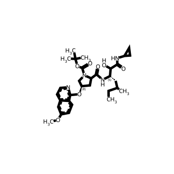 CCC(C)C[C@H](NC(=O)C1C[C@@H](Oc2nccc3cc(OC)ccc23)CN1C(=O)OC(C)(C)C)C(O)C(=O)NC1CC1